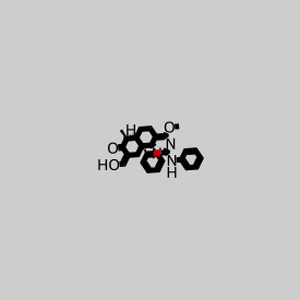 COc1nc(Nc2ccccc2)nc2c1CC[C@H]1[C@H](C)C(=O)C(=CO)C[C@]21c1ccccc1